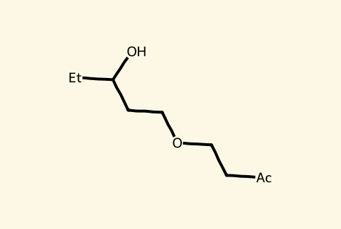 CCC(O)CCOCCC(C)=O